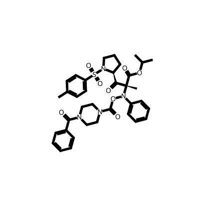 Cc1ccc(S(=O)(=O)N2CCC[C@H]2C(=O)[C@](C)(C(=O)OC(C)C)N(OC(=O)N2CCN(C(=O)c3ccccc3)CC2)c2ccccc2)cc1